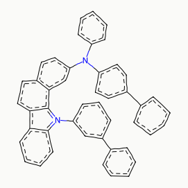 c1ccc(-c2ccc(N(c3ccccc3)c3ccc4ccc5c6ccccc6n(-c6cccc(-c7ccccc7)c6)c5c4c3)cc2)cc1